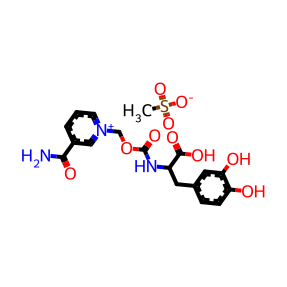 CS(=O)(=O)[O-].NC(=O)c1ccc[n+](COC(=O)NC(Cc2ccc(O)c(O)c2)C(=O)O)c1